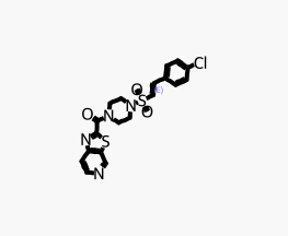 O=C(c1nc2ccncc2s1)N1CCN(S(=O)(=O)/C=C/c2ccc(Cl)cc2)CC1